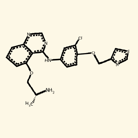 C[C@@H](N)COc1cccc2ncnc(Nc3ccc(OCc4cscn4)c(Cl)c3)c12